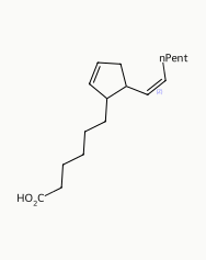 CCCCC/C=C\C1CC=CC1CCCCCC(=O)O